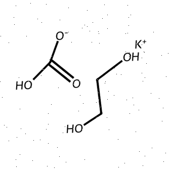 O=C([O-])O.OCCO.[K+]